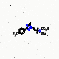 Cc1nc(-c2ccc(C(F)(F)F)cc2)nn1CCC(C)(C)N(C(=O)O)C(C)(C)C